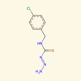 NN=NC(=S)NCc1ccc(Cl)cc1